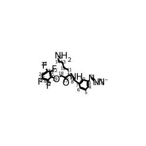 [N-]=[N+]=Nc1cccc(CN[C@@H](CCCCN)C(=O)COc2c(F)c(F)cc(F)c2F)c1